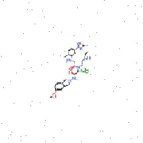 CCNCCN(CC(=O)N(C)N1Cc2ccc(OC)cc2C1)C(=O)CNc1cc(-c2noc(C)n2)ccc1C.Cl.Cl